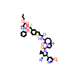 CCCOC(=O)[C@H](C)NP(=O)(Oc1ccccc1)[C@@H](F)c1ccc2sc(C(=O)N[C@H]3CCC[C@H]4CC[C@@H](C(=O)N5C[C@@H](c6cncc(OC)c6)[C@H](C#N)C56CC6)N4C3=O)cc2c1